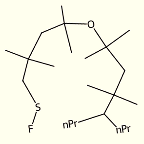 CCCC(CCC)C(C)(C)CC(C)(C)OC(C)(C)CC(C)(C)CSF